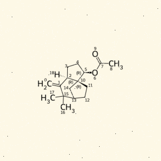 C=C1[C@H]2CC[C@@H](OC(C)=O)[C@@]23CCC(C3)C1(C)C